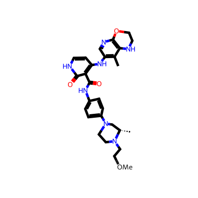 COCCN1CCN(c2ccc(NC(=O)c3c(Nc4cnc5c(c4C)NCCO5)cc[nH]c3=O)cc2)C[C@@H]1C